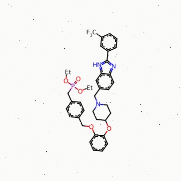 CCOP(=O)(Cc1ccc(COc2ccccc2OC2CCN(Cc3ccc4nc(-c5cccc(C(F)(F)F)c5)[nH]c4c3)CC2)cc1)OCC